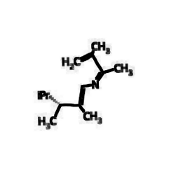 C=C(C)/C(C)=N\C=C(/C)[C@H](C)C(C)C